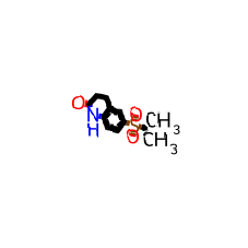 CC(C)S(=O)(=O)c1ccc2c(c1)CCC(=O)N2